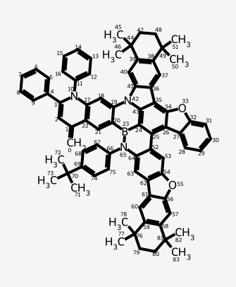 C=C1C=C(c2ccccc2)N(c2ccccc2)c2cc3c(cc21)B1c2c(c4c5ccccc5oc4c4c5cc6c(cc5n-3c24)C(C)(C)CCC6(C)C)-c2cc3oc4cc5c(cc4c3cc2N1c1ccc(C(C)(C)C)cc1)C(C)(C)CCC5(C)C